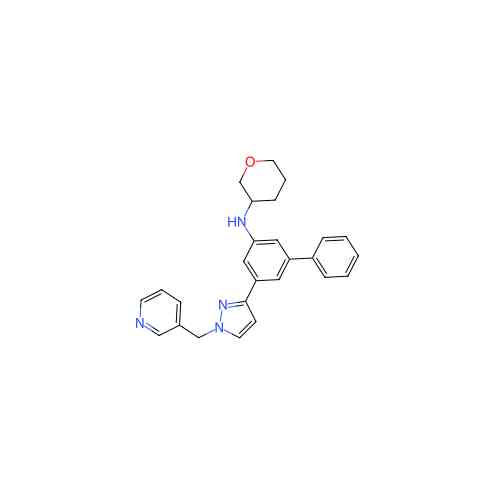 c1ccc(-c2cc(NC3CCCOC3)cc(-c3ccn(Cc4cccnc4)n3)c2)cc1